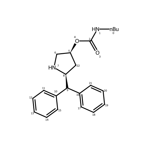 CCCCNC(=O)O[C@@H]1CN[C@H](C(c2ccccc2)c2ccccc2)C1